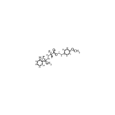 COc1ccc(CCOC(=O)C(F)(F)CC[Si](C)(C)c2ccccc2)cc1